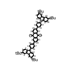 CC(C)(C)c1ccc2c(c1)-c1cc(C(C)(C)C)ccc1C2c1ccc(-c2ccc3c(c2)C(=O)c2ccc(-c4ccc(-n5c6ccc(C(C)(C)C)cc6c6cc(C(C)(C)C)ccc65)cc4)cc2C3=O)cc1